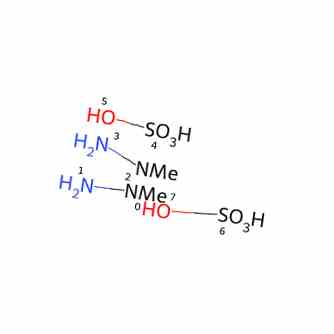 CNN.CNN.O=S(=O)(O)O.O=S(=O)(O)O